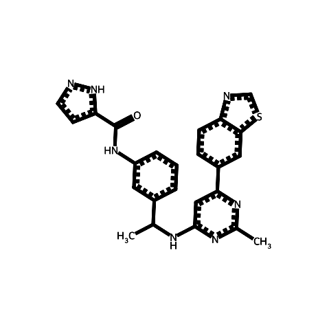 Cc1nc(NC(C)c2cccc(NC(=O)c3ccn[nH]3)c2)cc(-c2ccc3ncsc3c2)n1